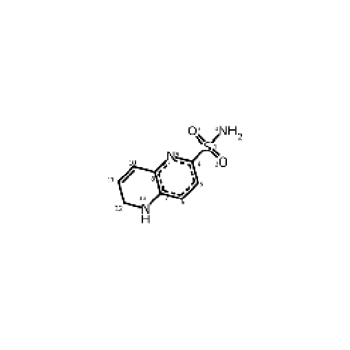 NS(=O)(=O)c1ccc2c(n1)C=CCN2